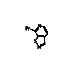 CC(C)c1nccc2cnsc12